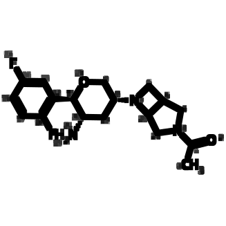 CC(=O)N1CC2CN([C@H]3CO[C@H](c4cc(F)ccc4F)[C@@H](N)C3)C2C1